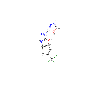 FC(F)(F)c1ccc2nc(Nc3nnco3)oc2c1